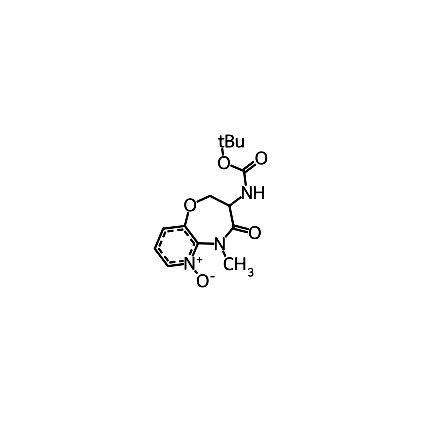 CN1C(=O)C(NC(=O)OC(C)(C)C)COc2ccc[n+]([O-])c21